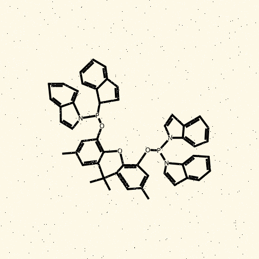 Cc1cc(OP(C2C=Cc3ccccc32)n2ccc3ccccc32)c2c(c1)C(C)(C)c1cc(C)cc(OP(n3ccc4ccccc43)n3ccc4ccccc43)c1O2